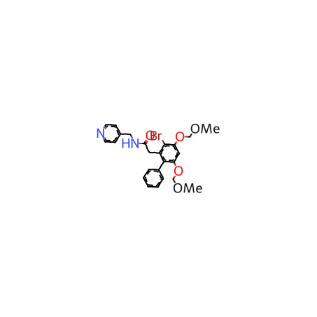 COCOc1cc(OCOC)c(-c2ccccc2)c(CC(=O)NCc2ccncc2)c1Br